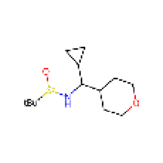 CC(C)(C)[S+]([O-])NC(C1CCOCC1)C1CC1